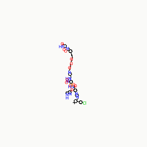 CC1(C)CCC(CN2CCN(c3ccc(C(=O)NS(=O)(=O)c4ccc(NCC5CCN(CCOCCOCCOCC#Cc6ccc7c(c6)C(=O)N(C6CCC(=O)NC6=O)C7)CC5)c([N+](=O)[O-])c4)c(Oc4cnc5[nH]ccc5c4)c3)CC2)=C(c2ccc(Cl)cc2)C1